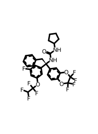 O=C(NC1CCCC1)N[C@@](Cc1ccccc1)(c1cc(F)cc(OC(F)(F)C(F)F)c1)c1ccc2c(c1)OC(F)(F)C(F)(F)O2